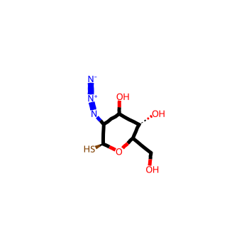 [N-]=[N+]=NC1C(O)[C@H](O)C(CO)O[C@H]1S